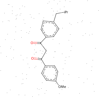 COc1ccc(C(=O)CC(=O)c2ccc(CC(C)C)cc2)cc1